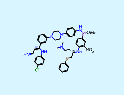 COP(Nc1ccc(N2CCN(c3cccc(/C(=C/C=N)Nc4ccc(Cl)cc4)c3)CC2)cc1)c1ccc(N[C@@H](CCN(C)C)CSc2ccccc2)c([N+](=O)[O-])c1